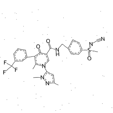 Cc1cc(-n2cc(C(=O)NCc3ccc(S(C)(=O)=NC#N)cc3)c(=O)c(-c3cccc(C(F)(F)F)c3)c2C)n(C)n1